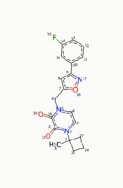 CC1(n2ccn(Cc3cc(-c4cccc(F)c4)no3)c(=O)c2=O)CCC1